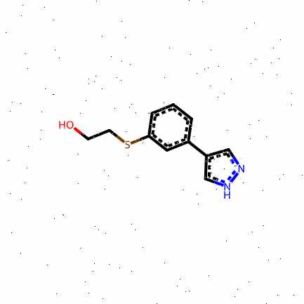 OCCSc1[c]ccc(-c2cn[nH]c2)c1